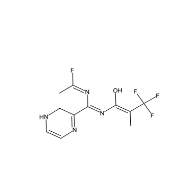 C\C(=C(O)/N=C(\N=C(/C)F)C1=NC=CNC1)C(F)(F)F